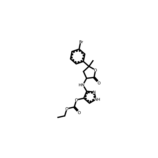 CCOC(=O)Oc1c[nH]nc1NC1CC(C)(c2cccc(Br)c2)OC1=O